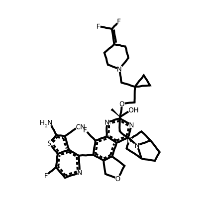 C[C@@H](O)CN1CC2CCC(C1)N2c1nc(OCC2(CN3CCC(=C(F)F)CC3)CC2)nc2c(F)c(-c3ncc(F)c4sc(N)c(C#N)c34)c3c(c12)COC3